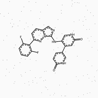 O=c1ccc(-c2cc(=O)[nH]cc2Nc2ncc3ccc(-c4c(F)cccc4F)nn23)c[nH]1